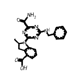 CC1Cc2c(C(=O)O)cccc2N1c1nc(NCc2ccccc2)nc(C(N)=O)n1